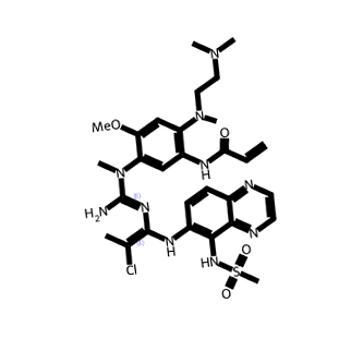 C=CC(=O)Nc1cc(N(C)/C(N)=N/C(Nc2ccc3nccnc3c2NS(C)(=O)=O)=C(\C)Cl)c(OC)cc1N(C)CCN(C)C